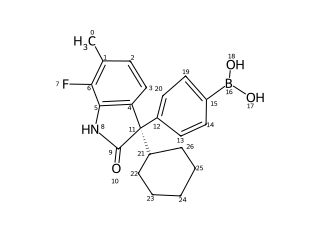 Cc1ccc2c(c1F)NC(=O)[C@@]2(c1ccc(B(O)O)cc1)C1CCCCC1